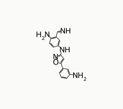 N=Cc1cc(Nc2cc(-c3cccc(N)c3)on2)ccc1N